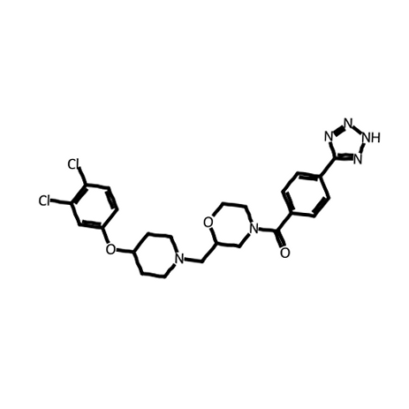 O=C(c1ccc(-c2nn[nH]n2)cc1)N1CCOC(CN2CCC(Oc3ccc(Cl)c(Cl)c3)CC2)C1